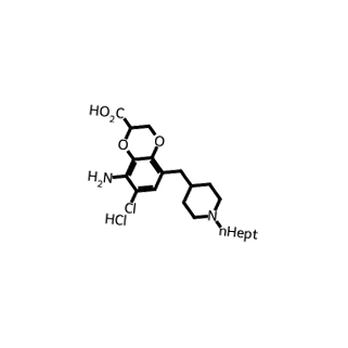 CCCCCCCN1CCC(Cc2cc(Cl)c(N)c3c2OCC(C(=O)O)O3)CC1.Cl